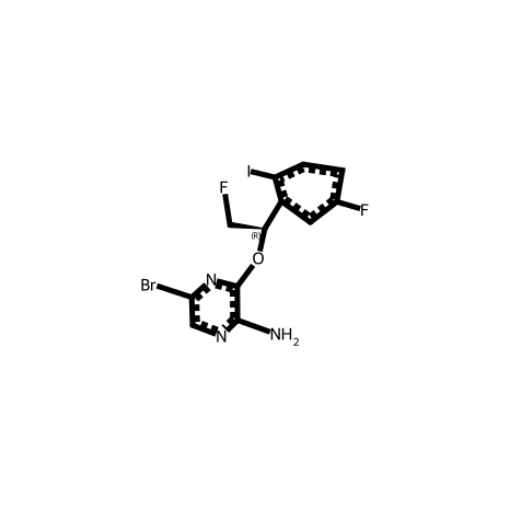 Nc1ncc(Br)nc1O[C@@H](CF)c1cc(F)ccc1I